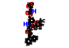 CC(=O)O[C@H]1[C@H](Oc2ccc(COC(=O)NCCS(C)(=O)=O)cc2NC(=O)CCC(=O)OCC2c3ccccc3-c3ccccc32)O[C@H](C(C)=O)[C@@H](C)[C@@H]1C